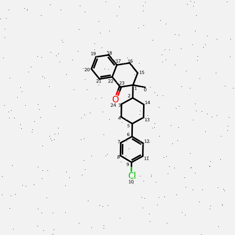 CC1(C2CCC(c3ccc(Cl)cc3)CC2)CCc2ccccc2C1=O